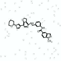 Cn1ncc2cc(C(=O)Nc3cccc(CNc4ncc(-c5cnn(C6CCCCO6)c5)c5c4CCO5)c3)ccc21